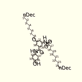 CCCCCCCCCCCCCCCCCCOc1cc(NS(=O)(=O)CCCCCCCCCCCCCCCCCC)cc(C(=O)Nc2ccc(O)cc2)c1